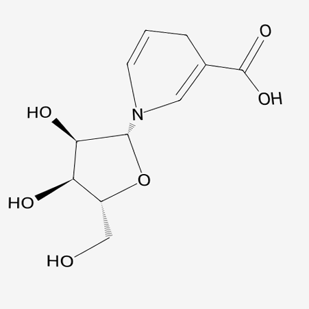 O=C(O)C1=CN([C@@H]2O[C@H](CO)[C@@H](O)[C@H]2O)C=CC1